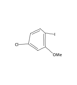 COc1cc(Cl)ccc1I